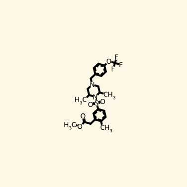 COC(=O)Cc1cc(S(=O)(=O)N2C(C)CN(Cc3ccc(OC(F)(F)F)cc3)CC2C)ccc1C